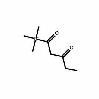 CCC(=O)CC(=O)[B-](C)(C)C